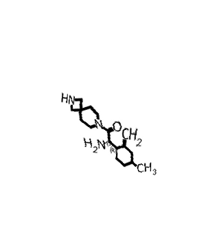 C=C1CC(C)CC[C@H]1[C@H](N)C(=O)N1CCC2(CC1)CNC2